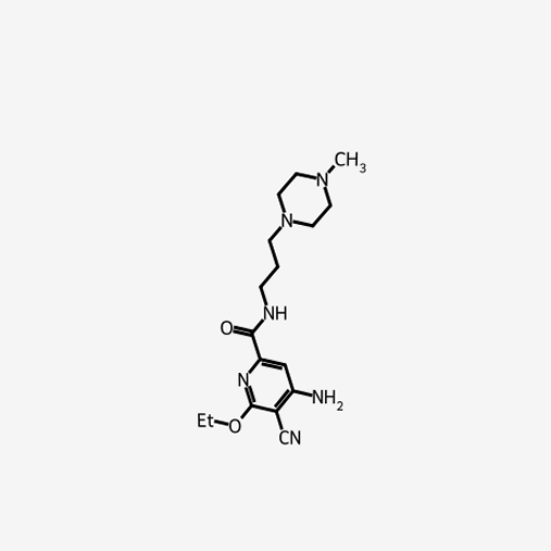 CCOc1nc(C(=O)NCCCN2CCN(C)CC2)cc(N)c1C#N